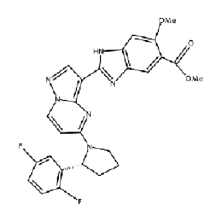 COC(=O)c1cc2nc(-c3cnn4ccc(N5CCC[C@@H]5c5cc(F)ccc5F)nc34)[nH]c2cc1OC